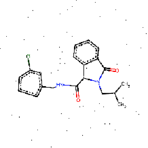 CC(C)CN1C(=O)c2ccccc2C1C(=O)NCc1cccc(Cl)c1